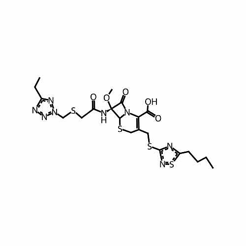 CCCCc1nc(SCC2=C(C(=O)O)N3C(=O)[C@@](NC(=O)CSCn4nnc(CC)n4)(OC)C3SC2)ns1